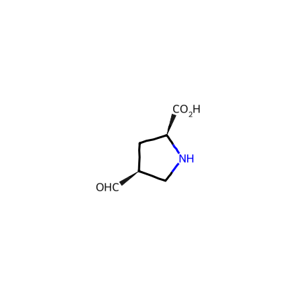 O=C[C@@H]1CN[C@H](C(=O)O)C1